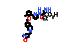 CCO/C(Nc1cccc(-c2cccc(C)c2OCc2ccc3c(c2)CCN(CC2CC(=O)N(C)C2)C3)n1)=C(/C=N)C(=O)O